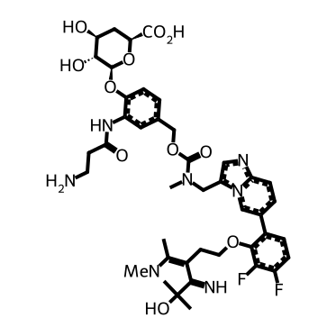 CN/C(C)=C(/CCOc1c(-c2ccc3ncc(CN(C)C(=O)OCc4ccc(O[C@@H]5O[C@H](C(=O)O)C[C@H](O)[C@H]5O)c(NC(=O)CCN)c4)n3c2)ccc(F)c1F)C(=N)C(C)(C)O